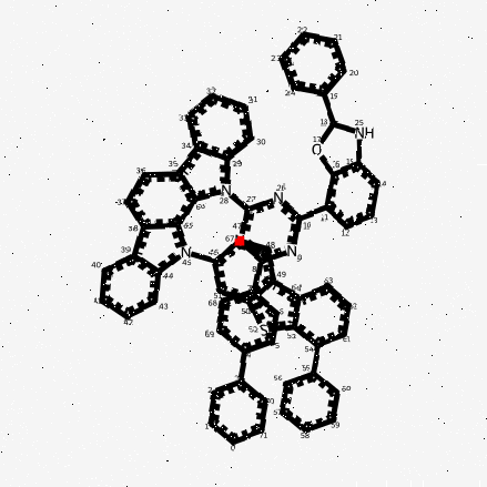 c1ccc(-c2ccc(-c3nc(-c4cccc5c4OC(c4ccccc4)N5)nc(-n4c5ccccc5c5ccc6c7ccccc7n(-c7ccc8c(c7)sc7c(-c9ccccc9)cccc78)c6c54)n3)cc2)cc1